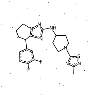 Cc1nsc(N2CCC(Nc3nc4n(n3)CCCC4c3ccc(F)c(F)c3)CC2)n1